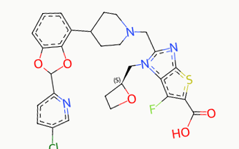 O=C(O)c1sc2nc(CN3CCC(c4cccc5c4OC(c4ccc(Cl)cn4)O5)CC3)n(C[C@@H]3CCO3)c2c1F